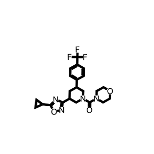 O=C(N1CCOCC1)N1CC(c2ccc(C(F)(F)F)cc2)CC(c2noc(C3CC3)n2)C1